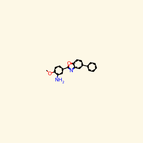 COc1ccc(-c2nc3cc(-c4ccccc4)ccc3o2)cc1N